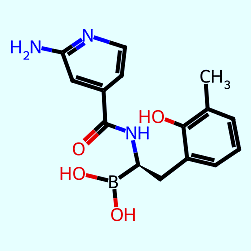 Cc1cccc(C[C@H](NC(=O)c2ccnc(N)c2)B(O)O)c1O